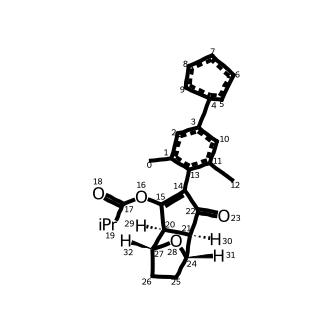 Cc1cc(-c2ccccc2)cc(C)c1C1=C(OC(=O)C(C)C)[C@H]2[C@@H](C1=O)[C@@H]1CC[C@H]2O1